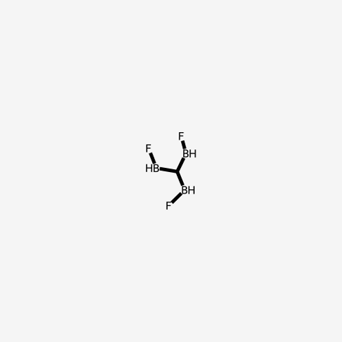 FBC(BF)BF